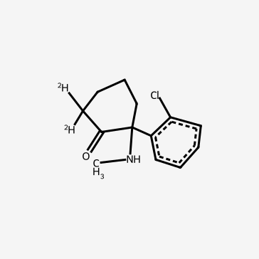 [2H]C1([2H])CCCC(NC)(c2ccccc2Cl)C1=O